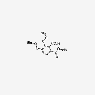 CCCOC(=O)c1ccc(OOC(C)(C)C)c(OOC(C)(C)C)c1C(=O)O